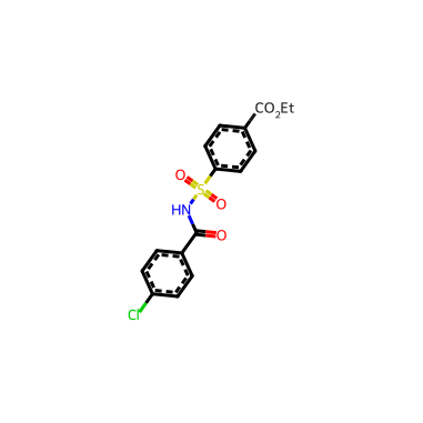 CCOC(=O)c1ccc(S(=O)(=O)NC(=O)c2ccc(Cl)cc2)cc1